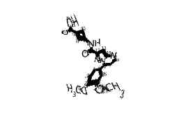 COc1ccc(-c2ccnc3cc(C(=O)NC45CC(C(=O)O)(C4)C5)nn23)cc1OC